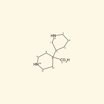 O=C(O)C1(C2CCCNC2)CCNCC1